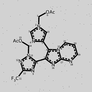 CC(=O)OCn1cnc(-c2c(-c3nc(C(F)(F)F)nn3COC(C)=O)nc3ncccn23)c1